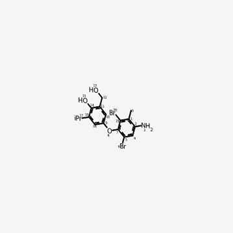 Cc1c(N)cc(Br)c(Oc2cc(CO)c(O)c(C(C)C)c2)c1Br